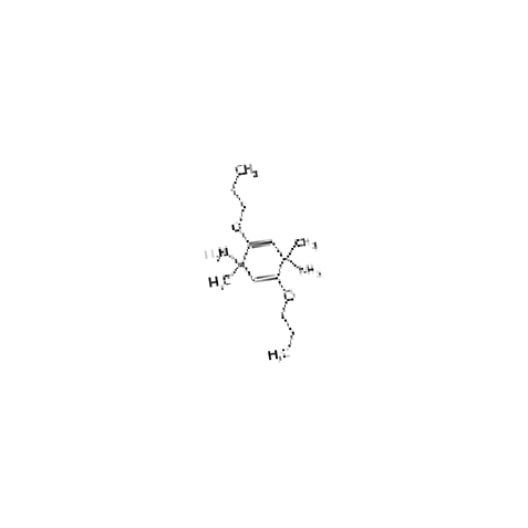 CCCOC1=CC(C)(N)C(OCCC)=CC1(C)N